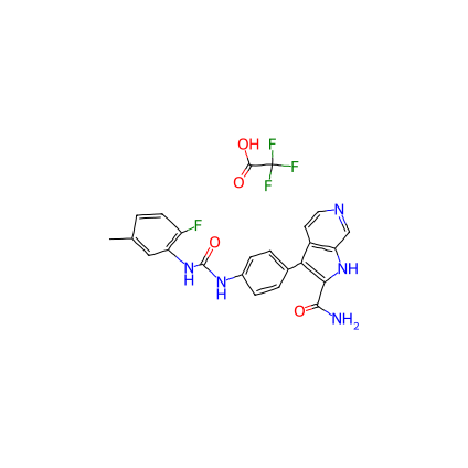 Cc1ccc(F)c(NC(=O)Nc2ccc(-c3c(C(N)=O)[nH]c4cnccc34)cc2)c1.O=C(O)C(F)(F)F